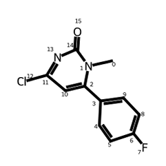 Cn1c(-c2ccc(F)cc2)cc(Cl)nc1=O